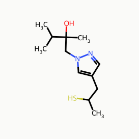 CC(S)Cc1cnn(CC(C)(O)C(C)C)c1